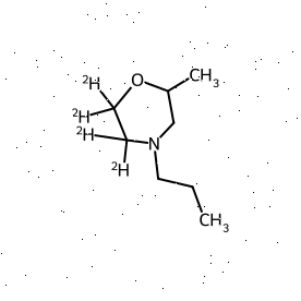 [2H]C1([2H])OC(C)CN(CCC)C1([2H])[2H]